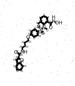 Cc1cccc(C(=O)NO)c1N(C)S(=O)(=O)c1ccc(OCCCCNC(=O)c2cc3ccccc3o2)cc1